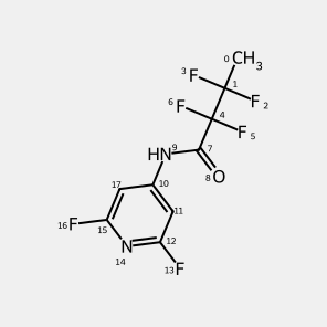 CC(F)(F)C(F)(F)C(=O)Nc1cc(F)nc(F)c1